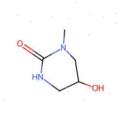 CN1CC(O)CNC1=O